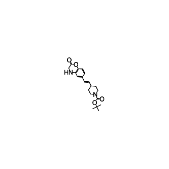 CC(C)(C)OC(=O)N1CCC(/C=C/c2ccc3c(c2)NCC(=O)O3)CC1